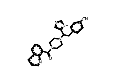 N#Cc1ccc(CC(c2cnc[nH]2)N2CCN(C(=O)c3cccc4cccnc34)CC2)cc1